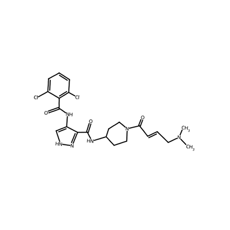 CN(C)CC=CC(=O)N1CCC(NC(=O)c2n[nH]cc2NC(=O)c2c(Cl)cccc2Cl)CC1